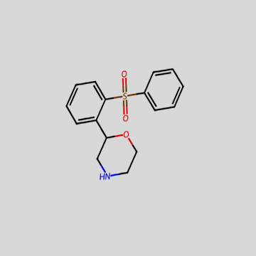 O=S(=O)(c1ccccc1)c1ccccc1C1CNCCO1